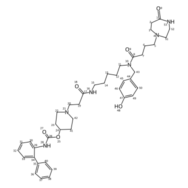 O=C1CCN(CCCC(=O)N(CCCCCNC(=O)CCN2CCC(OC(=O)Nc3ccccc3-c3ccccc3)CC2)Cc2ccc(O)cc2)CCN1